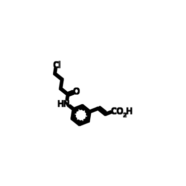 O=C(O)/C=C/c1cccc(NC(=O)CCCCl)c1